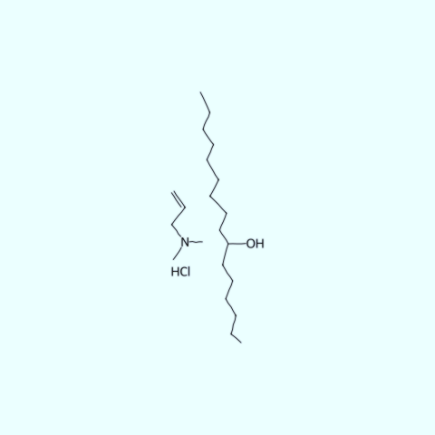 C=CCN(C)C.CCCCCCCCCC(O)CCCCCC.Cl